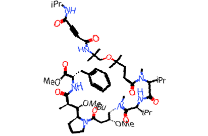 CC[C@H](C)[C@@H]([C@@H](CC(=O)N1CCC[C@H]1[C@H](OC)[C@@H](C)C(=O)N[C@@H](Cc1ccccc1)C(=O)OC)OC)N(C)C(=O)[C@@H](NC(=O)C(C(C)C)N(C)C(=O)CCC(C)(C)OCC(C)(C)NC(=O)C#CC(=O)NC(C)C)C(C)C